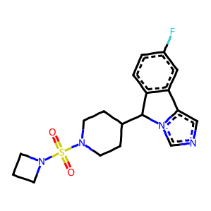 O=S(=O)(N1CCC1)N1CCC(C2c3ccc(F)cc3-c3cncn32)CC1